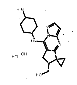 Cl.Cl.NC1CCC(Nc2c3c(nc4ccnn24)C2(CC2)C(CO)C3)CC1